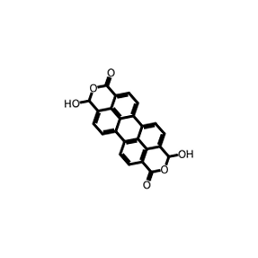 O=C1OC(O)c2ccc3c4ccc5c6c(ccc(c7ccc1c2c73)c64)C(O)OC5=O